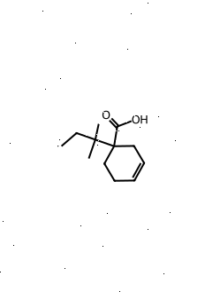 [CH2]CC(C)(C)C1(C(=O)O)CC=CCC1